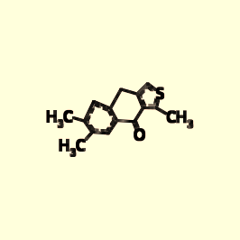 Cc1cc2c(cc1C)C(=O)c1c(csc1C)C2